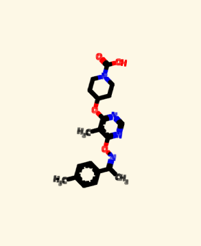 CC(=NOc1ncnc(OC2CCN(C(=O)O)CC2)c1C)c1ccc(C)cc1